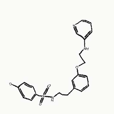 O=S(=O)(NCCc1cccc(OCCNc2cccnc2)c1)c1ccc(Cl)cc1